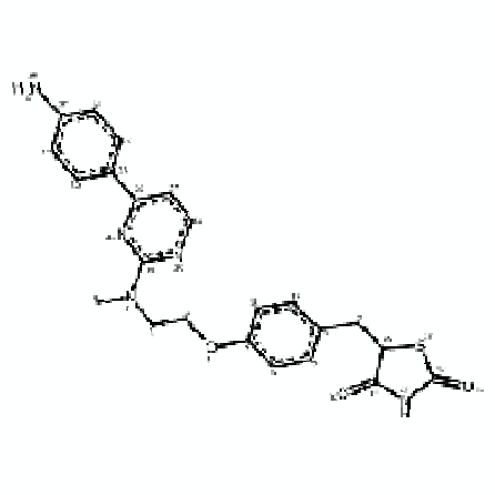 CN(CCOc1ccc(CC2SC(=O)NC2=O)cc1)c1nccc(-c2ccc(N)cc2)n1